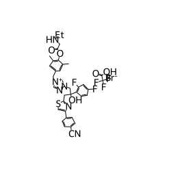 CCNCC(=O)Oc1c(C)cc(C[n+]2cnn(C[C@](O)(c3ccc(F)cc3F)[C@@H](C)c3nc(-c4ccc(C#N)cc4)cs3)c2)cc1C.O=C(O)C(F)(F)F.[Br-]